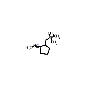 C/N=C1\CCCC1S[Si](C)(C)C